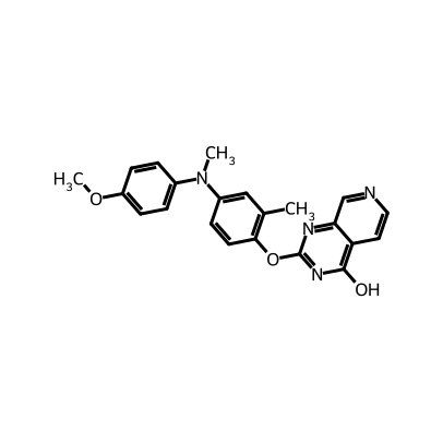 COc1ccc(N(C)c2ccc(Oc3nc(O)c4ccncc4n3)c(C)c2)cc1